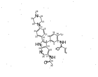 C=CC(=O)Nc1cc(-c2c(-c3ccc(N4CCN(C)CC4)cc3)[nH]c3ncc(NC(C)=O)cc23)ccc1C